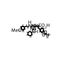 COc1ccc(CCNc2nc(NC3CCCCC3)nc(N[C@@H](Cc3ccc(OC(=O)N(C)C)cc3)C(=O)O)n2)cc1